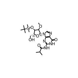 COC1C(O[Si](C)(C)C(C)(C)C)[C@@H](CO)O[C@H]1n1cnc2c(=O)[nH]c(NC(=O)C(C)C)nc21